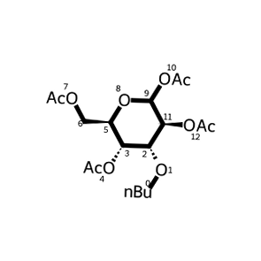 CCCCO[C@@H]1[C@H](OC(C)=O)[C@@H](COC(C)=O)OC(OC(C)=O)[C@H]1OC(C)=O